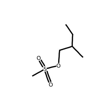 CCC(C)COS(C)(=O)=O